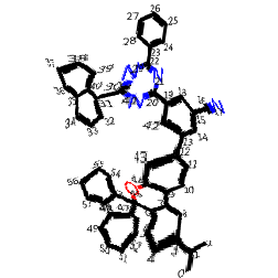 CC(C)c1ccc2c(c1)-c1ccc(-c3cc(C#N)cc(-c4nc(-c5ccccc5)nc(-c5cccc6ccccc56)n4)c3)cc1OC2(c1ccccc1)c1ccccc1